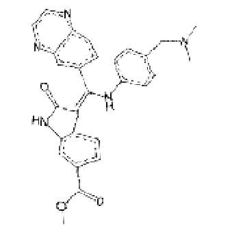 COC(=O)c1ccc2c(c1)NC(=O)C2=C(Nc1ccc(CN(C)C)cc1)c1ccc2nccnc2c1